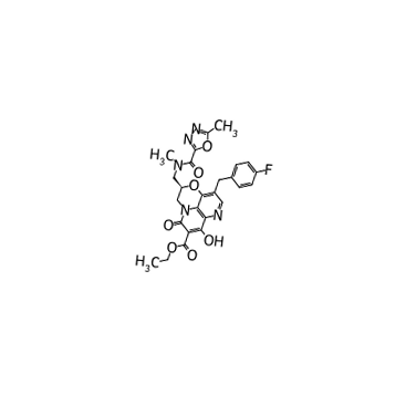 CCOC(=O)c1c(O)c2ncc(Cc3ccc(F)cc3)c3c2n(c1=O)C[C@@H](CN(C)C(=O)c1nnc(C)o1)O3